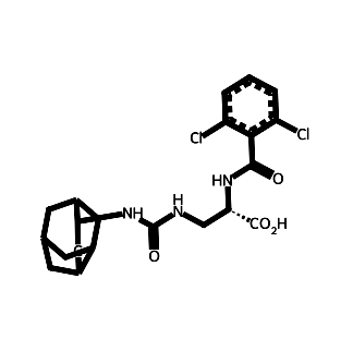 O=C(NC[C@H](NC(=O)c1c(Cl)cccc1Cl)C(=O)O)NC1CC2CC3CC2CC1C3